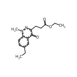 CCOC(=O)CCc1nn(C)c2ccc(CC)cc2c1=O